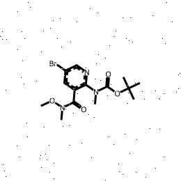 CON(C)C(=O)c1cc(Br)cnc1N(C)C(=O)OC(C)(C)C